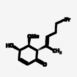 CO[C@H]1[C@H](C(C)=CCCC(C)C)C(=O)C=C[C@H]1O